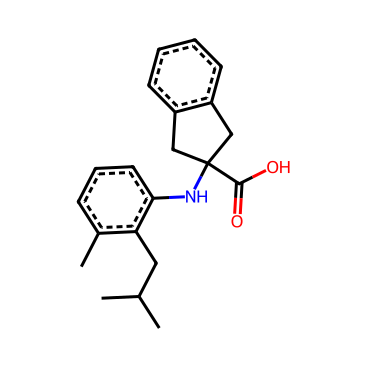 Cc1cccc(NC2(C(=O)O)Cc3ccccc3C2)c1CC(C)C